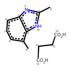 Cc1nc2cccc(C)c2[nH]1.O=C(O)CCC(=O)O